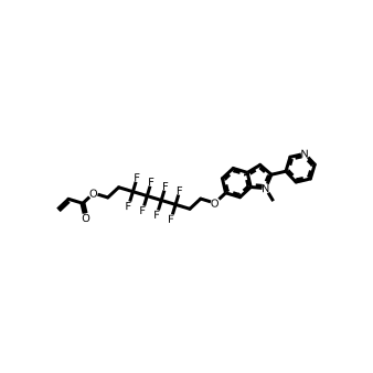 C=CC(=O)OCCC(F)(F)C(F)(F)C(F)(F)C(F)(F)CCOc1ccc2cc(-c3cccnc3)n(C)c2c1